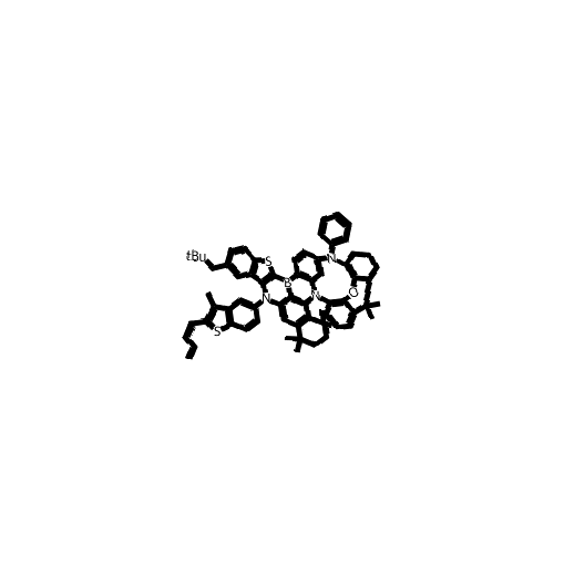 C=C/C=C\c1sc2ccc(N3c4cc5c(c6c4B(c4ccc7cc4N6c4cccc6c4OC4=C(CCCC4C6(C)C)N7c4ccccc4)c4sc6ccc(CC(C)(C)C)cc6c43)C(C)(C)CCC5(C)C)cc2c1C